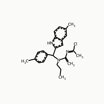 C=C(/N=C(\C)Cl)N(CCC)C(c1ccc(C)cc1)c1cc2cc(C)ccc2[nH]1